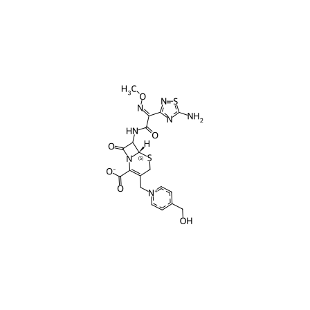 CON=C(C(=O)NC1C(=O)N2C(C(=O)[O-])=C(C[n+]3ccc(CO)cc3)CS[C@@H]12)c1nsc(N)n1